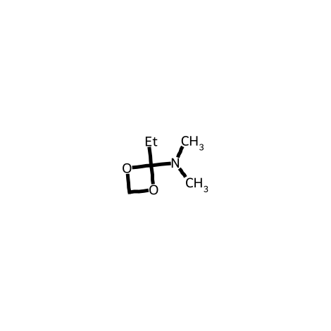 CCC1(N(C)C)OCO1